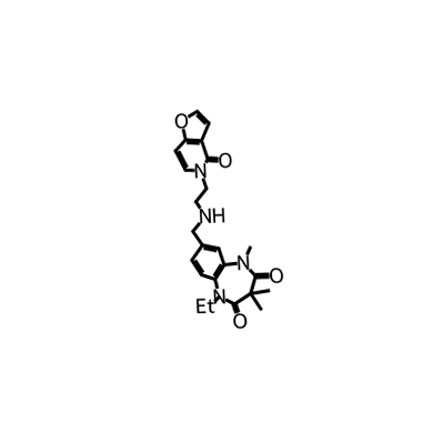 CCN1C(=O)C(C)(C)C(=O)N(C)c2cc(CNCCn3ccc4occc4c3=O)ccc21